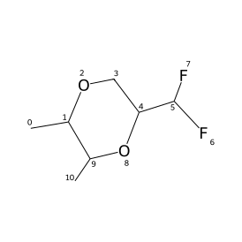 CC1OCC(C(F)F)OC1C